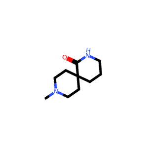 CN1CCC2(CCCNC2=O)CC1